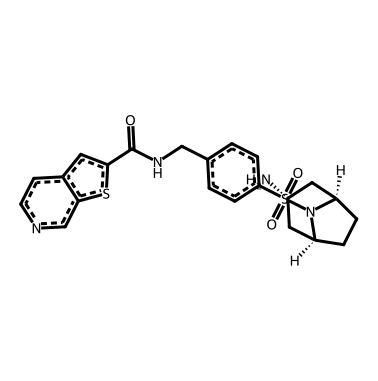 N[C@@H]1C[C@H]2CC[C@@H](C1)N2S(=O)(=O)c1ccc(CNC(=O)c2cc3ccncc3s2)cc1